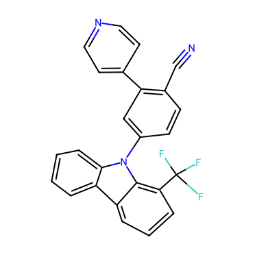 N#Cc1ccc(-n2c3ccccc3c3cccc(C(F)(F)F)c32)cc1-c1ccncc1